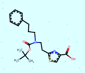 CC(C)(C)OC(=O)N(CCCc1ccccc1)CCc1nc(C(=O)O)cs1